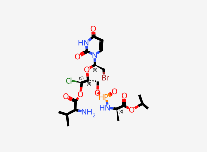 CC(C)OC(=O)[C@@H](C)N[PH](=O)OC[C@@H](O[C@H](CBr)n1ccc(=O)[nH]c1=O)[C@H](Cl)OC(=O)C(N)C(C)C